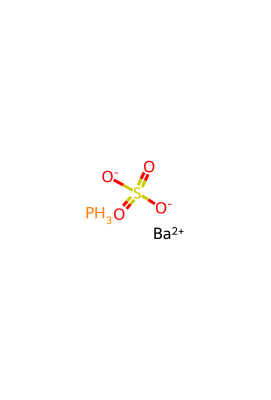 O=S(=O)([O-])[O-].P.[Ba+2]